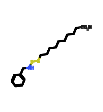 O=C(O)CCCCCCCCCSSNCc1ccccc1